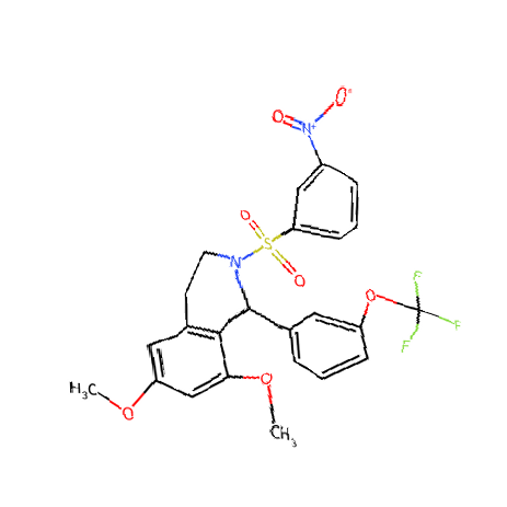 COc1cc2c(c(OC)c1)C(c1cccc(OC(F)(F)F)c1)N(S(=O)(=O)c1cccc([N+](=O)[O-])c1)CC2